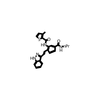 CCCNC(=O)c1ccc(C=Cc2n[nH]c3ccccc23)c(NC(=O)c2sccc2C)c1